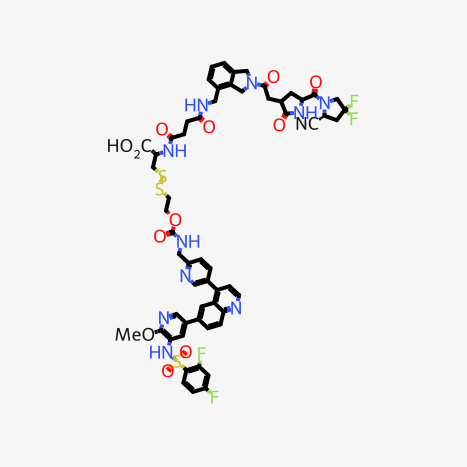 COc1ncc(-c2ccc3nccc(-c4ccc(CNC(=O)OCCSSCC(NC(=O)CCC(=O)NCc5cccc6c5CN(C(=O)CC5CC(C(=O)N7CC(F)(F)C[C@H]7C#N)NC5=O)C6)C(=O)O)nc4)c3c2)cc1NS(=O)(=O)c1ccc(F)cc1F